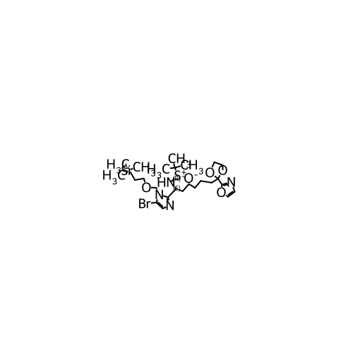 CC(C)(C)[S@+]([O-])N[C@@H](CCCCCC1(c2ncco2)OCCO1)c1ncc(Br)n1COCC[Si](C)(C)C